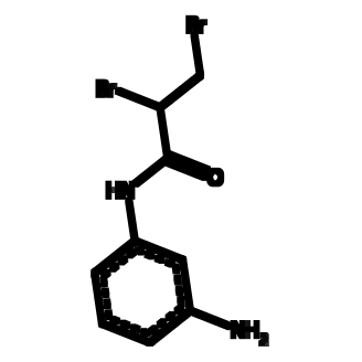 Nc1cccc(NC(=O)C(Br)CBr)c1